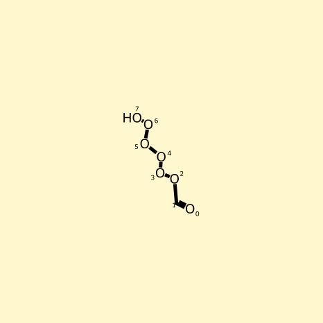 O=COOOOOO